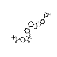 CCN(Cc1ccc(-c2cn[nH]c2)cc1)C(=O)[C@@H]1CCCN(c2cccc(OC(C)(C)C(=O)N3CCN(C(=O)OC(C)(C)C)CC3)c2)C1